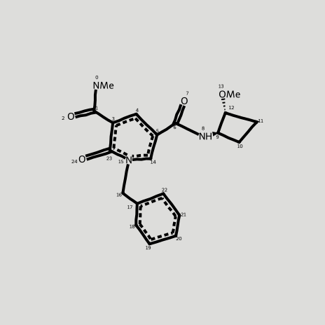 CNC(=O)c1cc(C(=O)N[C@@H]2CC[C@H]2OC)cn(Cc2ccccc2)c1=O